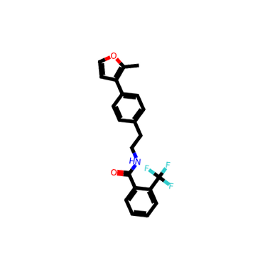 Cc1occc1-c1ccc(CCNC(=O)c2ccccc2C(F)(F)F)cc1